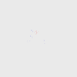 CCCCC/C=C\C/C=C\CCCCCCCCC1(CCCCCCCC/C=C\C/C=C\CCCCC)OCC(CCN(C)C(C)C(C)(C)c2ccncc2)O1